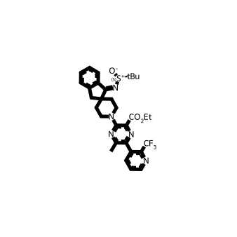 CCOC(=O)c1nc(-c2cccnc2C(F)(F)F)c(C)nc1N1CCC2(CC1)Cc1ccccc1C2=N[S@+]([O-])C(C)(C)C